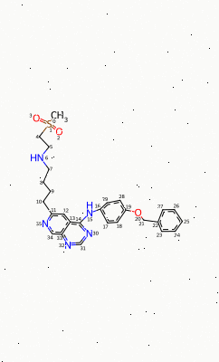 CS(=O)(=O)CCNCCCCc1cc2c(Nc3ccc(OCc4ccccc4)cc3)ncnc2cn1